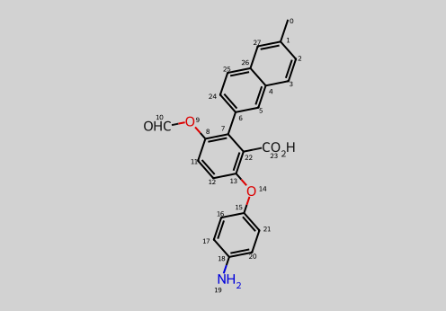 Cc1ccc2cc(-c3c(OC=O)ccc(Oc4ccc(N)cc4)c3C(=O)O)ccc2c1